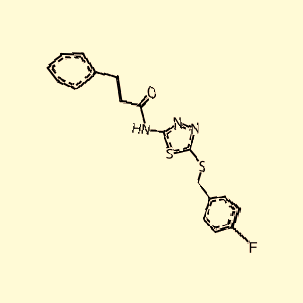 O=C(CCc1ccccc1)Nc1nnc(SCc2ccc(F)cc2)s1